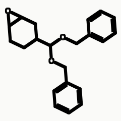 c1ccc(COC(OCc2ccccc2)C2CCC3OC3C2)cc1